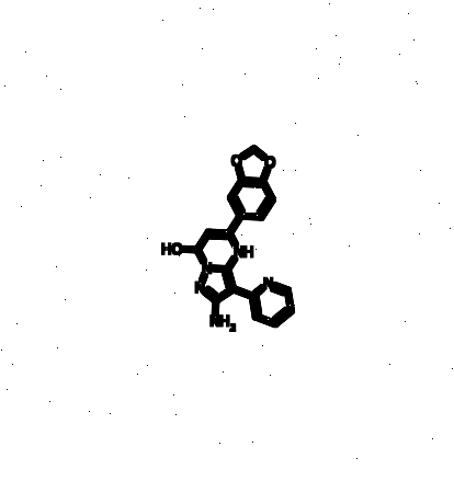 Nc1nn2c(c1-c1ccccn1)NC(c1ccc3c(c1)OCO3)=CC2O